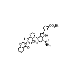 CCOC(=O)N1CC=C(c2cc3c(-c4cccc(NC(=O)n5cnc6ccccc6c5=O)c4C)ccc(C(N)=O)c3[nH]2)C1